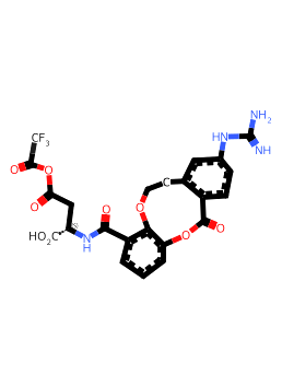 N=C(N)Nc1ccc2c(c1)CCOc1c(cccc1C(=O)N[C@@H](CC(=O)OC(=O)C(F)(F)F)C(=O)O)OC2=O